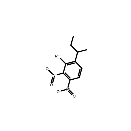 CCC(C)c1ccc([N+](=O)[O-])c([N+](=O)[O-])c1O